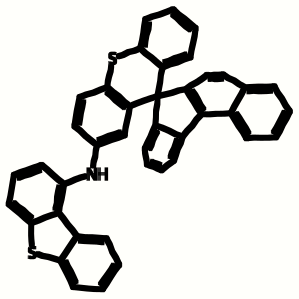 c1ccc2c(c1)Sc1ccc(Nc3cccc4sc5ccccc5c34)cc1C21c2ccccc2-c2c1ccc1ccccc21